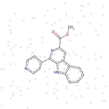 COC(=O)c1cc2c([nH]c3ccccc32)c(-c2ccncc2)n1